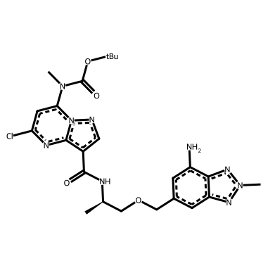 C[C@H](COCc1cc(N)c2nn(C)nc2c1)NC(=O)c1cnn2c(N(C)C(=O)OC(C)(C)C)cc(Cl)nc12